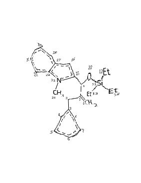 C=C(Cc1ccccc1)C(O[Si](CC)(CC)CC)c1cc2ccccc2n1C